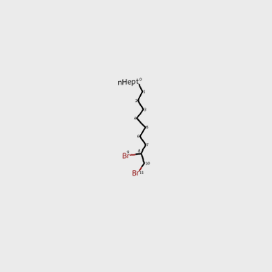 [CH2]CCCCCCCCCCCCCC(Br)CBr